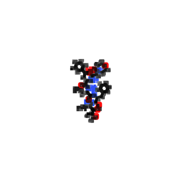 CCC[C@H](NC(=O)[C@H](Cc1ccccc1)NC(=O)[C@H](CC(C)C)NC(=O)[C@H](CCc1ccccc1)NC(=O)C[N+]1(O)CCOCC1)C(=O)[C@@]1(C)CO1